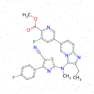 CCc1nc2ccc(-c3cnc(C(=O)OC)c(F)c3)cn2c1N(C)c1nc(-c2ccc(F)cc2)c(C#N)s1